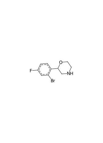 Fc1ccc(C2CNCCO2)c(Br)c1